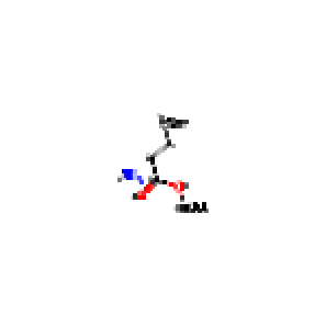 CCCCCCCCCCCC(=O)OCCCCCCCC.N